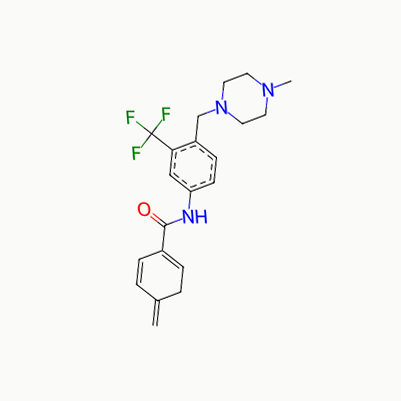 C=C1C=CC(C(=O)Nc2ccc(CN3CCN(C)CC3)c(C(F)(F)F)c2)=CC1